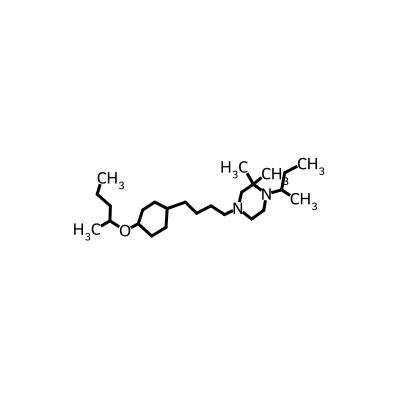 CCCC(C)OC1CCC(CCCCN2CCN(C(C)CC)C(C)(C)C2)CC1